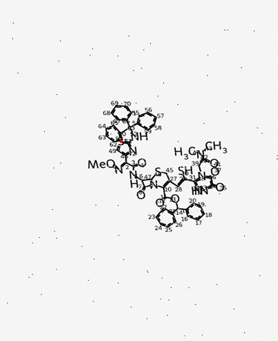 CON=C(C(=O)NC1C(=O)N2C(C(=O)OC(c3ccccc3)c3ccccc3)=C(C=C(S)c3n[nH]c(=O)c(=O)n3CC(=O)N(C)C)CSC12)c1csc(NC(c2ccccc2)(c2ccccc2)c2ccccc2)n1